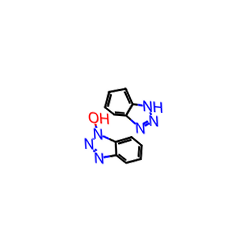 On1nnc2ccccc21.c1ccc2[nH]nnc2c1